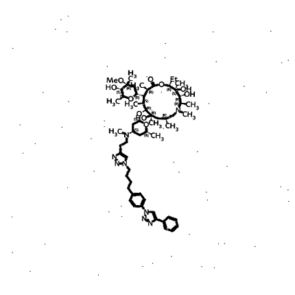 CC[C@H]1OC(=O)[C@H](C)C([C@H]2C[C@@](C)(OC)[C@@H](O)[C@H](C)O2)[C@H](C)[C@@H](O[C@H]2C[C@@H](N(C)CCc3cn(CCCCc4ccc(-n5cc(-c6ccccc6)nn5)cc4)nn3)C[C@@H](C)O2)[C@](C)(O)C[C@@H](C)CN(C)[C@H](C)[C@@H](O)[C@]1(C)O